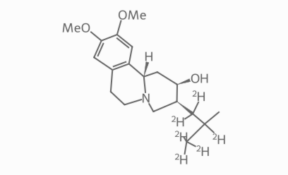 [2H]C([2H])([2H])C([2H])(C)C([2H])([2H])[C@H]1CN2CCc3cc(OC)c(OC)cc3[C@@H]2C[C@H]1O